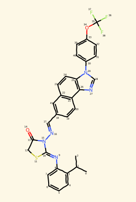 CC(C)c1ccccc1N=C1SCC(=O)N1/N=C/c1ccc2c(ccc3c2ncn3-c2ccc(OC(F)(F)F)cc2)c1